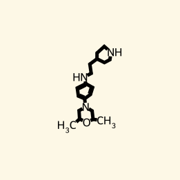 CC1CN(c2ccc(NCCC3CCNCC3)cc2)CC(C)O1